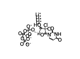 O=c1ccn([C@@H]2O[C@H](COP(=O)([O-])OP(=O)([O-])OP(=O)([O-])[O-])[C@@H](O)C2(Cl)Cl)c(=O)[nH]1.[Li+].[Li+].[Li+].[Li+]